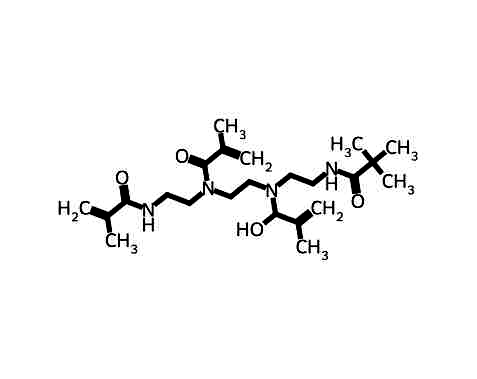 C=C(C)C(=O)NCCN(CCN(CCNC(=O)C(C)(C)C)C(O)C(=C)C)C(=O)C(=C)C